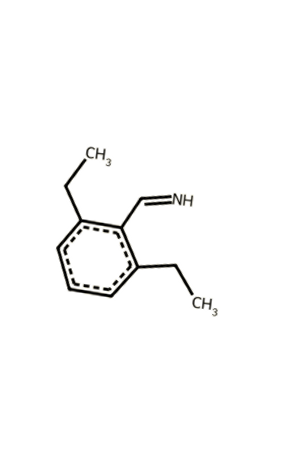 CCc1cccc(CC)c1C=N